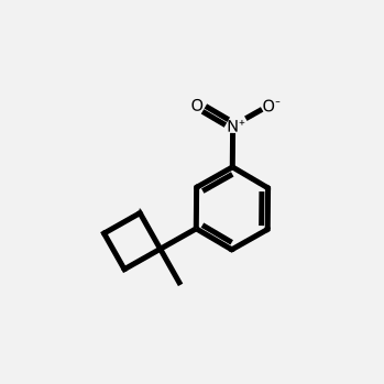 CC1(c2cccc([N+](=O)[O-])c2)[CH]CC1